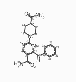 NC(=O)c1cnc(N2CCC(C(N)=O)CC2)nc1Nc1ccccc1